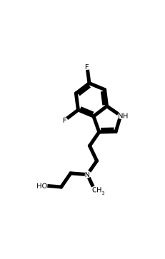 CN(CCO)CCc1c[nH]c2cc(F)cc(F)c12